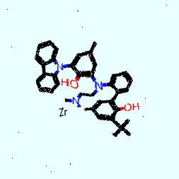 Cc1cc(N(CCN(C)C)c2ccccc2-c2cc(C)cc(C(C)(C)C)c2O)c(O)c(-n2c3ccccc3c3ccccc32)c1.[Zr]